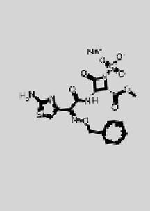 COC(=O)[C@@H]1[C@H](NC(=O)C(=NOCc2ccccc2)c2csc(N)n2)C(=O)N1S(=O)(=O)[O-].[Na+]